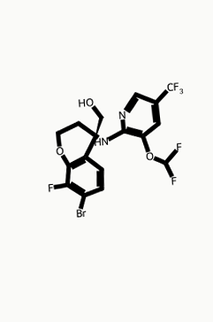 OC[C@]1(Nc2ncc(C(F)(F)F)cc2OC(F)F)CCOc2c1ccc(Br)c2F